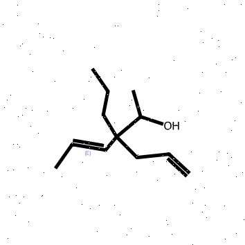 C=CCC(/C=C/C)(CCC)C(C)O